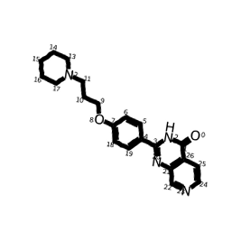 O=c1[nH]c(-c2ccc(OCCCN3CCCCC3)cc2)nc2cnccc12